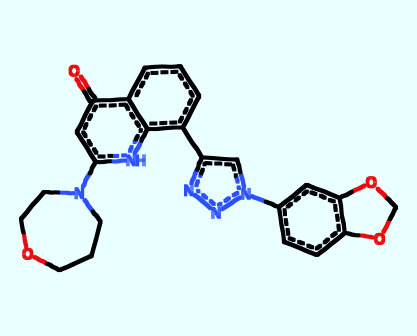 O=c1cc(N2CCCOCC2)[nH]c2c(-c3cn(-c4ccc5c(c4)OCO5)nn3)cccc12